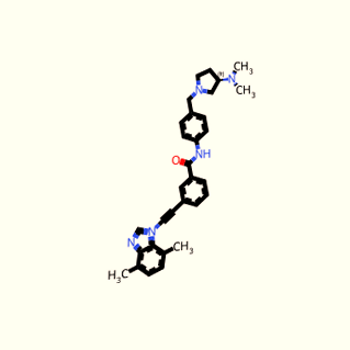 Cc1ccc(C)c2c1ncn2C#Cc1cccc(C(=O)Nc2ccc(CN3CC[C@@H](N(C)C)C3)cc2)c1